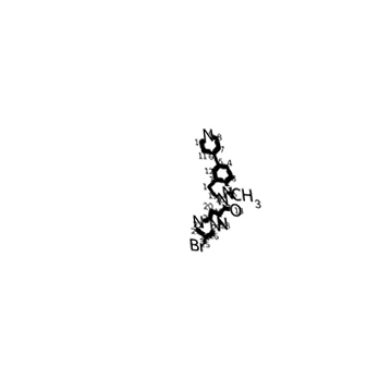 CN1c2ccc(-c3ccncc3)cc2CCN1C(=O)c1cc2ncc(Br)cn2n1